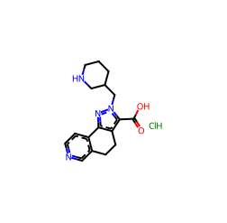 Cl.O=C(O)c1c2c(nn1CC1CCCNC1)-c1ccncc1CC2